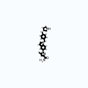 Cc1cc(C(N)=O)nn1-c1ccc2c(ccn2Cc2ccc(C[C@@H]3CCNC3)cc2)c1